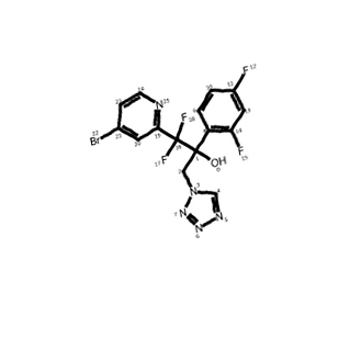 OC(Cn1cnnn1)(c1ccc(F)cc1F)C(F)(F)c1cc(Br)ccn1